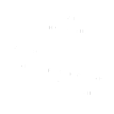 CC(C)OCc1cc(C(C)(C)C)cc(COC(C)C)c1S(F)(F)F